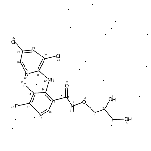 O=C(NOCC(O)CO)c1ccc(F)c(F)c1Nc1ncc(Cl)cc1Cl